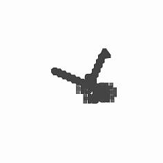 CCCCCCCCCCCCCCC[C@@H](O)[C@H](COC1OC(CO)C(O)C(O)C1O)N=S(C)(=O)CCCCCCCCCCC1CC1